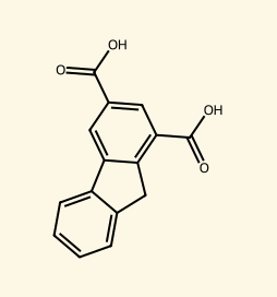 O=C(O)c1cc(C(=O)O)c2c(c1)-c1ccccc1C2